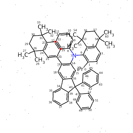 CC(C)c1ccc2c(c1N(c1ccccc1)c1cc3c(cc1-c1ccc4c(c1)C(C)(C)CCC4(C)C)-c1ccccc1C3(c1ccccc1)c1ccccc1)C(C)(C)CCC2(C)C